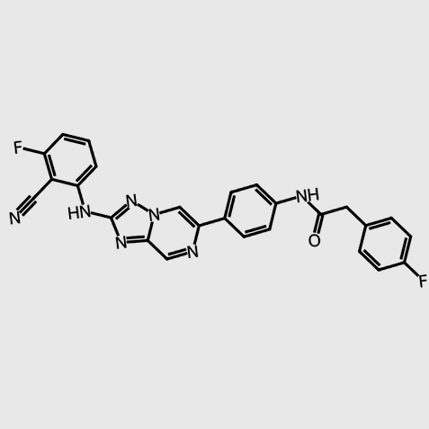 N#Cc1c(F)cccc1Nc1nc2cnc(-c3ccc(NC(=O)Cc4ccc(F)cc4)cc3)cn2n1